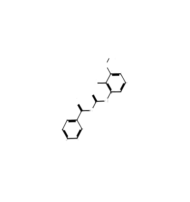 O=C(NC(=S)Nc1cccc(OC(F)(F)F)c1Br)c1ccccc1